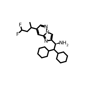 CC(CC(F)F)c1cnn2cc([C@@H](N)C(C3CCCCC3)C3CCCCC3)nc2c1